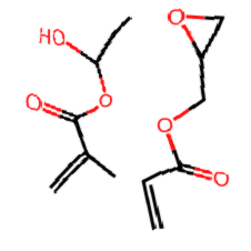 C=C(C)C(=O)OC(C)O.C=CC(=O)OCC1CO1